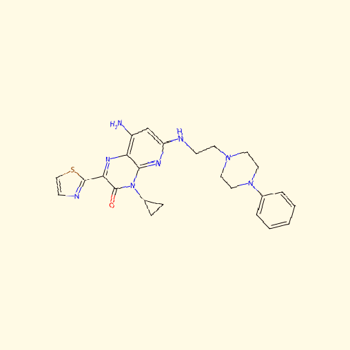 Nc1cc(NCCN2CCN(c3ccccc3)CC2)nc2c1nc(-c1nccs1)c(=O)n2C1CC1